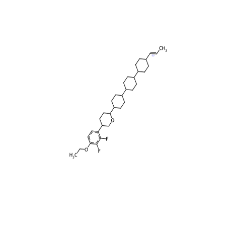 C/C=C/C1CCC(C2CCC(C3CCC(C4CCC(c5ccc(OCC)c(F)c5F)CO4)CC3)CC2)CC1